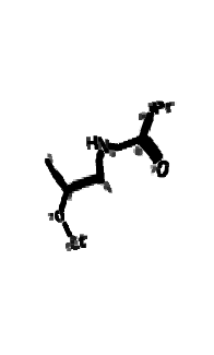 CCOC(C)CNC(=O)C(C)C